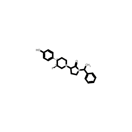 CC(c1ccccc1)N1CCC(N2CC[C@@H](c3ccc(O)cc3)[C@H](F)C2)C1=O